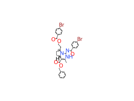 CC1=C(C(=O)OCc2ccccc2)[C@@H]2CC[C@@H](CCOC(=O)c3ccc(Br)cc3)N2C(=NC(=O)c2ccc(Br)cc2)N1